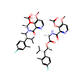 COc1ccnc(C(=O)N(C(C)[C@H](c2ccc(F)cc2C)C(C)C)[C@@H](C)C(=O)O)c1OC(C)=O.COc1ccnc(C(=O)N[C@@H](C)C(=O)O[C@@H](C)[C@H](c2ccc(F)cc2C)C(C)C)c1OC(C)=O